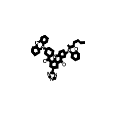 C=C/C=C\C1=C(C)N(c2ccc3c(c2)c(=O)c2cc(-c4ncncn4)cc4c(=O)c5cc(N6c7ccccc7Oc7ccccc76)ccc5n3c24)c2ccccc2O1